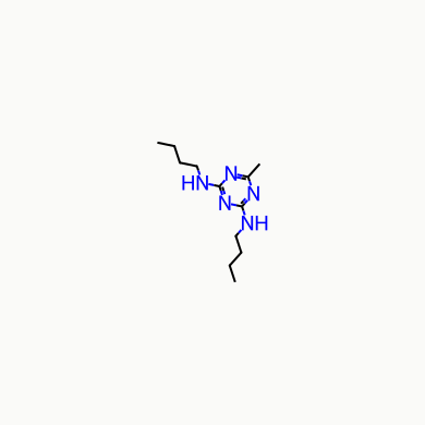 CCCCNc1nc(C)nc(NCCCC)n1